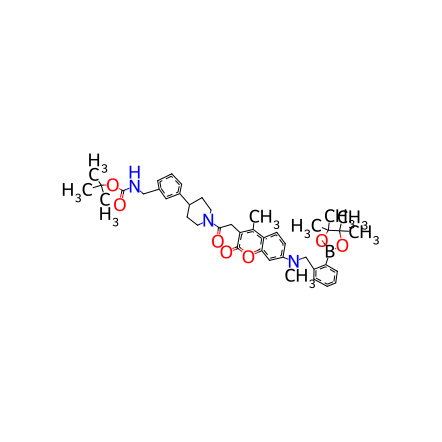 Cc1c(CC(=O)N2CCC(c3cccc(CNC(=O)OC(C)(C)C)c3)CC2)c(=O)oc2cc(N(C)Cc3ccccc3B3OC(C)(C)C(C)(C)O3)ccc12